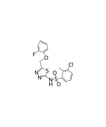 Cc1c(Cl)cccc1S(=O)(=O)Nc1nnc(COc2ccccc2F)s1